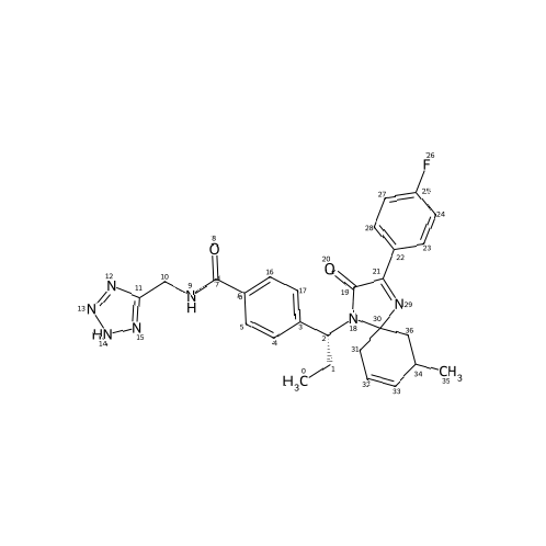 CC[C@H](c1ccc(C(=O)NCc2nn[nH]n2)cc1)N1C(=O)C(c2ccc(F)cc2)=NC12CC=CC(C)C2